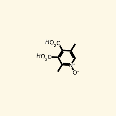 Cc1c[n+]([O-])c(C)c(C(=O)O)c1C(=O)O